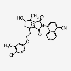 Cc1cc(OCCC23CC(O)C(C)(O2)C2C(=O)N(c4ccc(C#N)c5ccccc45)C(=O)C23)ccc1Cl